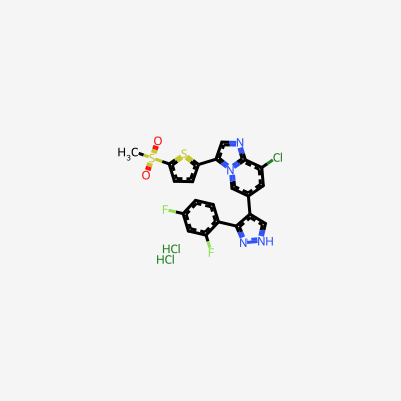 CS(=O)(=O)c1ccc(-c2cnc3c(Cl)cc(-c4c[nH]nc4-c4ccc(F)cc4F)cn23)s1.Cl.Cl